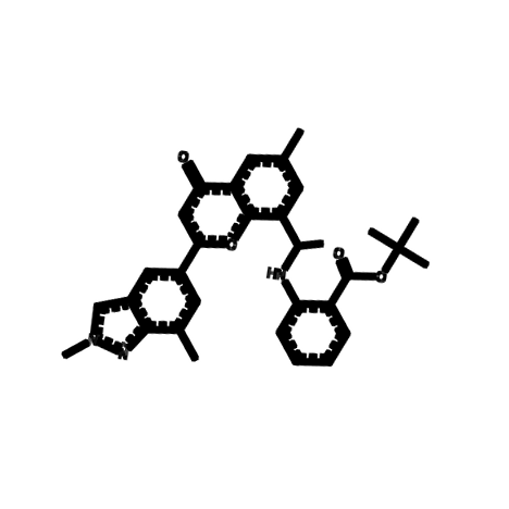 Cc1cc(C(C)Nc2ccccc2C(=O)OC(C)(C)C)c2oc(-c3cc(C)c4nn(C)cc4c3)cc(=O)c2c1